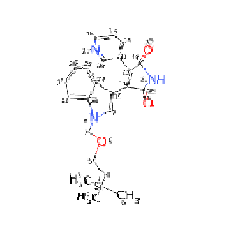 C[Si](C)(C)CCOCn1cc(C2=C(c3cccnc3)C(=O)NC2=O)c2ccccc21